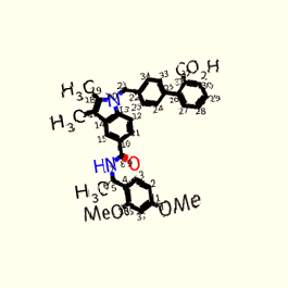 COc1ccc([C@H](C)NC(=O)c2ccc3c(c2)c(C)c(C)n3Cc2ccc(-c3ccccc3C(=O)O)cc2)c(OC)c1